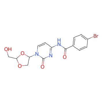 O=C(Nc1ccn(C2COC(CO)O2)c(=O)n1)c1ccc(Br)cc1